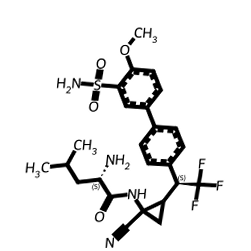 COc1ccc(-c2ccc([C@H](C3CC3(C#N)NC(=O)[C@@H](N)CC(C)C)C(F)(F)F)cc2)cc1S(N)(=O)=O